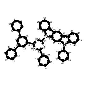 c1ccc(-c2cc(-c3ccccc3)cc(-c3nc(-c4ccccc4)nc(-n4c5ccccc5c5cc6c7ccccc7n(-c7ccccc7)c6cc54)n3)c2)cc1